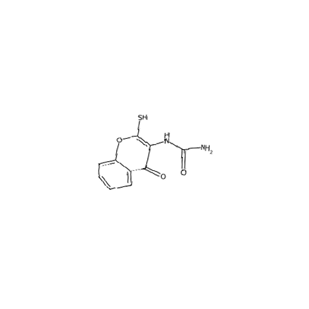 NC(=O)Nc1c(S)oc2ccccc2c1=O